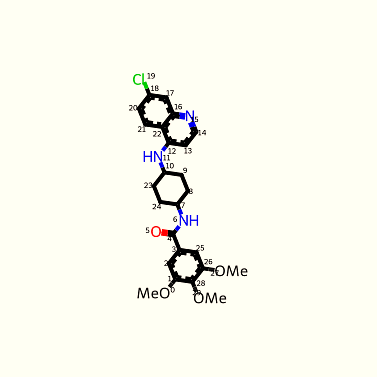 COc1cc(C(=O)NC2CCC(Nc3ccnc4cc(Cl)ccc34)CC2)cc(OC)c1OC